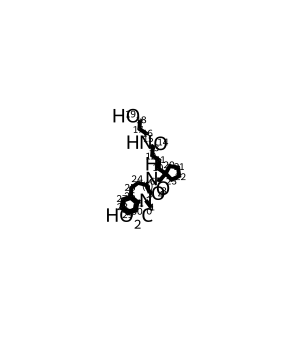 O=C(O)CN1C(=O)[C@@H](NC(=O)C2(CCCC(=O)NCCCO)CCCC2)CCc2ccccc21